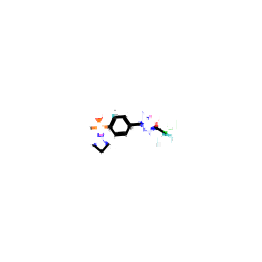 CP(=O)(c1ccc(-c2noc(C(F)(F)Cl)n2)cc1F)N1CCC1